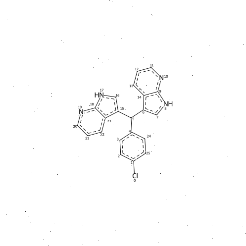 Clc1ccc(C(c2c[nH]c3ncccc23)c2c[nH]c3ncccc23)cc1